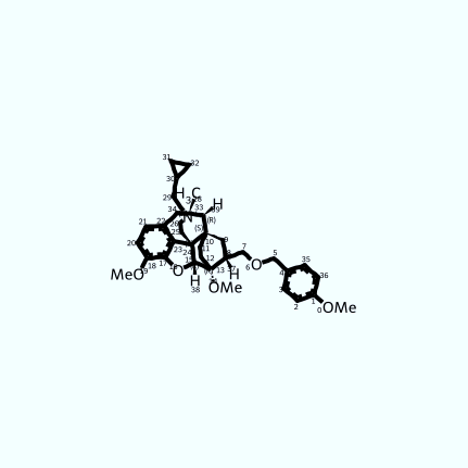 COc1ccc(COC[C@H]2C[C@@]34CC[C@]2(OC)[C@@H]2Oc5c(OC)ccc6c5[C@@]23CC[N@+](C)(CC2CC2)[C@@H]4C6)cc1